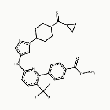 COC(=O)c1ccc(-c2nc(Nc3cnn(C4CCN(C(=O)C5CC5)CC4)c3)ncc2C(F)(F)F)cc1